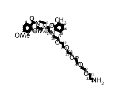 COc1cccc(C(=O)N2CCN(C(=O)CN(CCOCCOCCOCCOCCOCCN)c3cccc(C)c3)CC2)c1OC